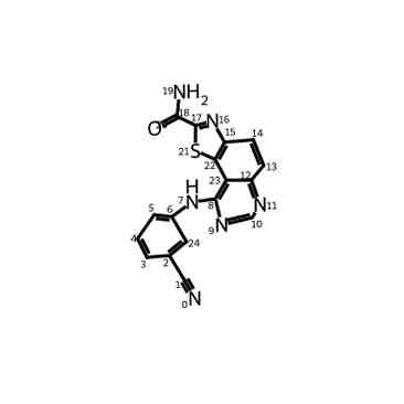 N#Cc1cccc(Nc2ncnc3ccc4nc(C(N)=O)sc4c23)c1